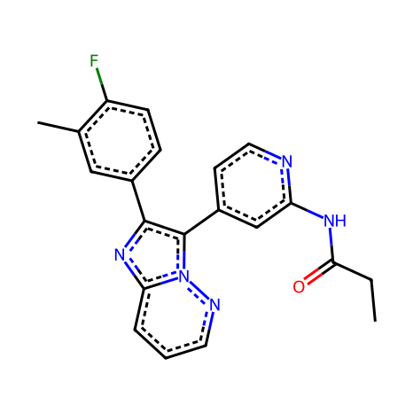 CCC(=O)Nc1cc(-c2c(-c3ccc(F)c(C)c3)nc3cccnn23)ccn1